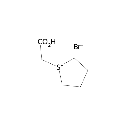 O=C(O)C[S+]1CCCC1.[Br-]